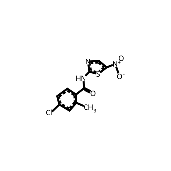 Cc1cc(Cl)ccc1C(=O)Nc1ncc([N+](=O)[O-])s1